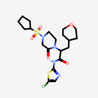 O=C(Nc1ncc(Cl)s1)C(CC1CCOCC1)N1CCN(S(=O)(=O)C2CCCC2)CC1=O